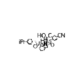 CC(C)c1ccc(CC(=O)[AsH]c2cccc3cc(C(=O)[AsH]c4ccc(C#N)cc4C(=O)O)[nH]c23)cc1